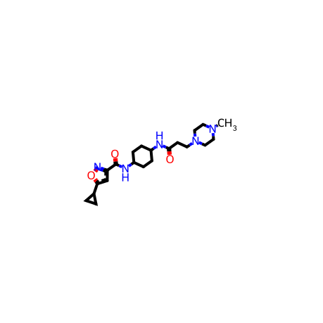 CN1CCN(CCC(=O)NC2CCC(NC(=O)c3cc(C4CC4)on3)CC2)CC1